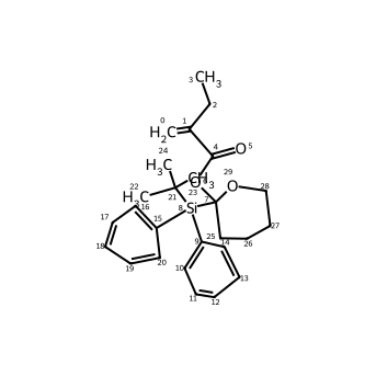 C=C(CC)C(=O)OC1([Si](c2ccccc2)(c2ccccc2)C(C)(C)C)CCCCO1